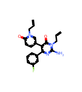 C=CCn1cc(-c2c(-c3cccc(F)c3)nc(N)n(CC=C)c2=O)ccc1=O